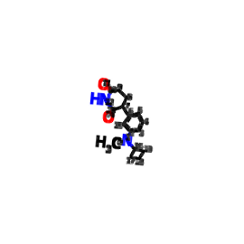 CN(c1cccc(C2CCC(=O)NC2=O)c1)C1CCC1